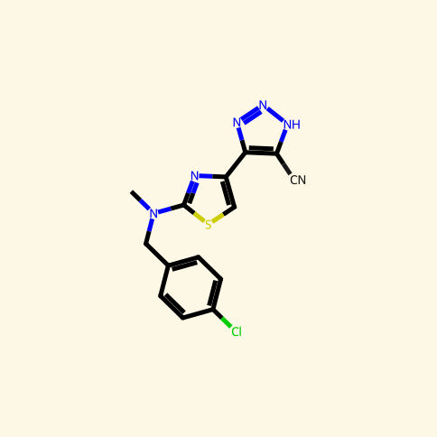 CN(Cc1ccc(Cl)cc1)c1nc(-c2nn[nH]c2C#N)cs1